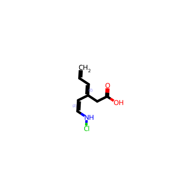 C=C/C=C(\C=C/NCl)CC(=O)O